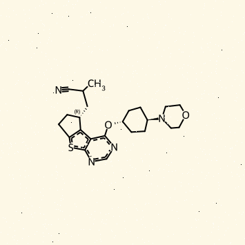 CC(C#N)C[C@H]1CCc2sc3ncnc(O[C@H]4CC[C@H](N5CCOCC5)CC4)c3c21